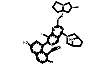 C#Cc1c(F)ccc2cc(O)cc(-c3ncc4c(N5CC6CCC(C5)N6)nc(OC[C@]56CCCN5C[C@@H](F)C6)nc4c3F)c12